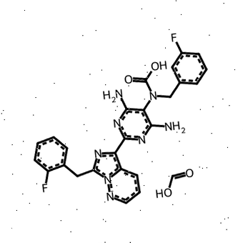 Nc1nc(-c2nc(Cc3ccccc3F)n3ncccc23)nc(N)c1N(Cc1cccc(F)c1)C(=O)O.O=CO